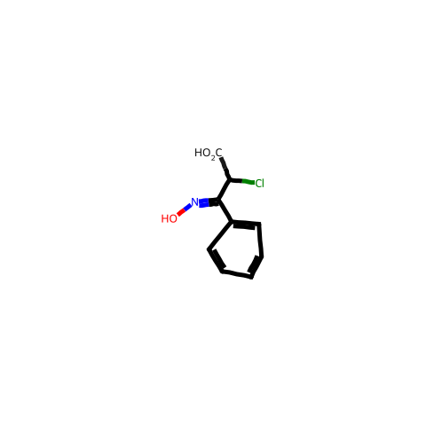 O=C(O)C(Cl)/C(=N/O)c1ccccc1